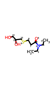 CCN(CC)C(=O)CCSCC(O)CO